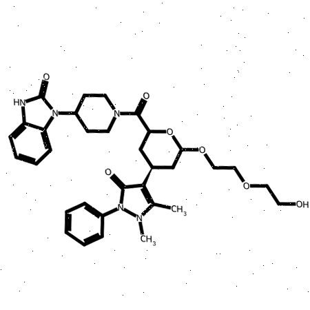 Cc1c([C@@H]2CC(OCCOCCO)OC(C(=O)N3CCC(n4c(=O)[nH]c5ccccc54)CC3)C2)c(=O)n(-c2ccccc2)n1C